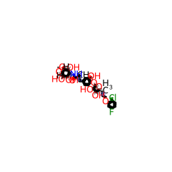 C/C(=C\c1ccc(O[C@@H]2O[C@H](/C(C)=C/COc3cc(F)ccc3Cl)[C@@H](O)[C@@H]2O)c(O)c1)C(=O)N[C@@H]1[C@H](O)[C@@H](O)[C@H]2OCO[C@H]2[C@@H]1O